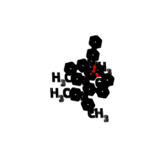 Cc1ccc(N(c2ccc(C)cc2)c2cc(-c3cccc4c3oc3c(-c5ccc(N(c6ccc(-c7ccccc7)cc6)c6ccc(-c7ccccc7)cc6)cc5)cccc34)cc(N(c3ccc(C)cc3)c3ccc(C)cc3)c2)cc1